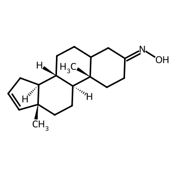 C[C@@]12C=CC[C@H]1[C@@H]1CCC3CC(=NO)CC[C@]3(C)[C@H]1CC2